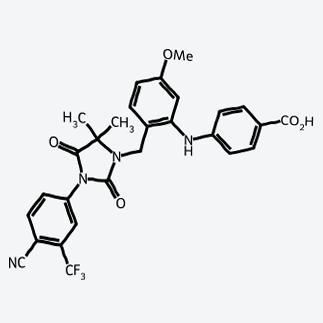 COc1ccc(CN2C(=O)N(c3ccc(C#N)c(C(F)(F)F)c3)C(=O)C2(C)C)c(Nc2ccc(C(=O)O)cc2)c1